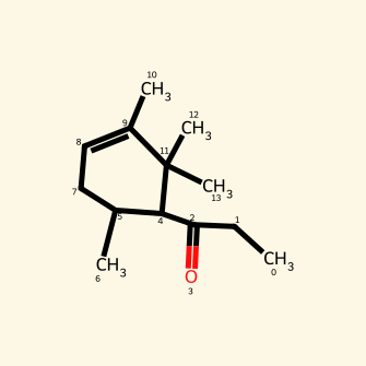 CCC(=O)C1C(C)CC=C(C)C1(C)C